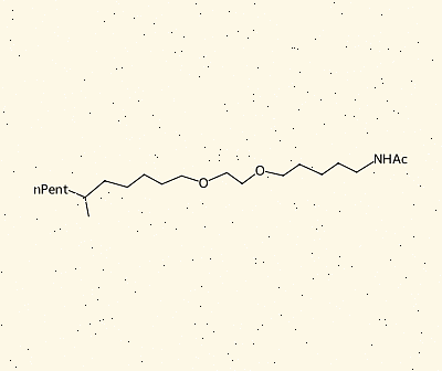 CCCCCC(C)CCCCCOCCOCCCCCNC(C)=O